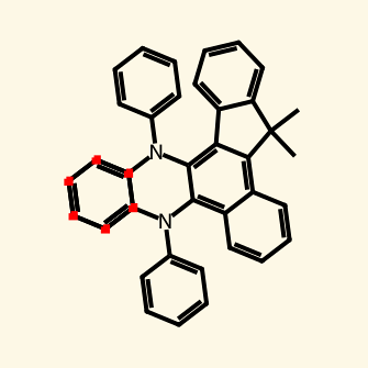 CC1(C)c2ccccc2-c2c(N(c3ccccc3)c3ccccc3)c(N(c3ccccc3)c3ccccc3)c3ccccc3c21